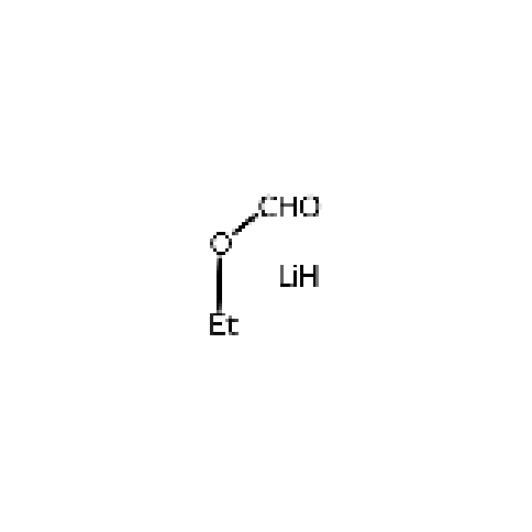 CCOC=O.[LiH]